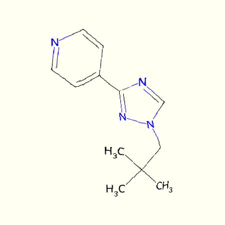 CC(C)(C)Cn1cnc(-c2ccncc2)n1